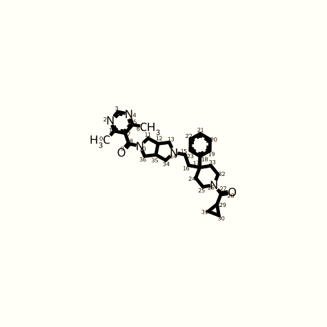 Cc1ncnc(C)c1C(=O)N1CC2CN(CCC3(c4ccccc4)CCN(C(=O)C4CC4)CC3)CC2C1